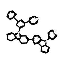 C1=CC2c3cc(C4=Cc5c(c6c(n5C5=CC(c7ccncc7)=CC(c7ccccc7)C5)C=CCC6)CC4)ccc3N(c3ccccc3)C2C=C1